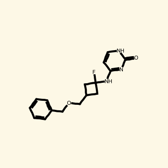 O=c1nc(NC2(F)CC(COCc3ccccc3)C2)cc[nH]1